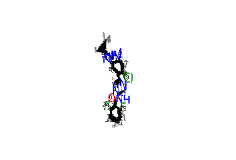 O=C(Nc1cnc(-c2cc3nn(C4CC4)nc3cc2Cl)cn1)c1c(F)cccc1F